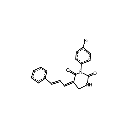 O=C1NCC(=CC=Cc2ccccc2)C(=O)N1c1ccc(Br)cc1